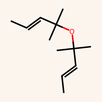 CC=CC(C)(C)OC(C)(C)C=CC